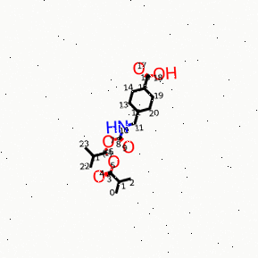 CC(C)C(=O)O[C@@H](OC(=O)NCC1CCC(C(=O)O)CC1)C(C)C